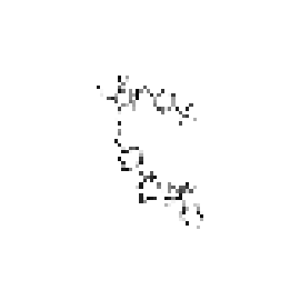 CCn1c(CCCc2ccc(-c3cncc(NS(=O)(=O)c4ccccc4)n3)cc2)nn(Cc2ccc(C(C)(C)C)cc2)c1=O